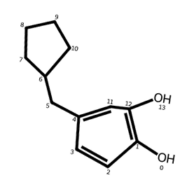 Oc1ccc(CC2CCCC2)cc1O